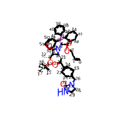 C=CCOC(=O)C(N1C(=O)[C@H]([C@@H](C)O[Si](C)(C)C)[C@H]1CC(=O)c1ccc(CN2CCNC2=O)cc1)=P(c1ccccc1)(c1ccccc1)c1ccccc1